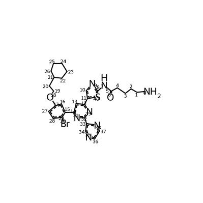 NCCCCC(=O)Nc1ncc(-c2cc(-c3cc(OCCC4CCCCC4)ccc3Br)nc(-c3cnccn3)n2)s1